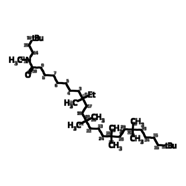 CCC(C)(CCCCCCCC(=O)N(C)CCC(C)(C)C)CCC(C)(C)CCCC(C)(C)CCC(C)(C)CCCCC(C)(C)C